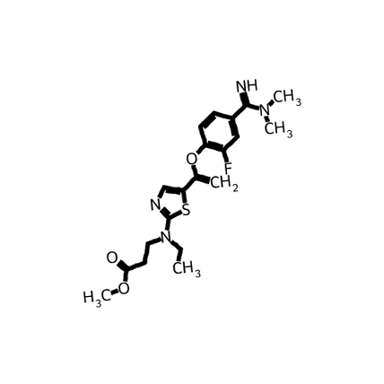 C=C(Oc1ccc(C(=N)N(C)C)cc1F)c1cnc(N(CC)CCC(=O)OC)s1